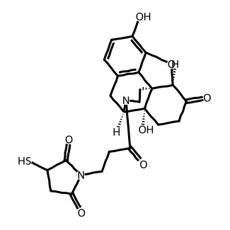 O=C1CC[C@@]2(O)[C@H]3Cc4ccc(O)c5c4[C@@]2(CCN3C(=O)CCN2C(=O)CC(S)C2=O)[C@H]1O5